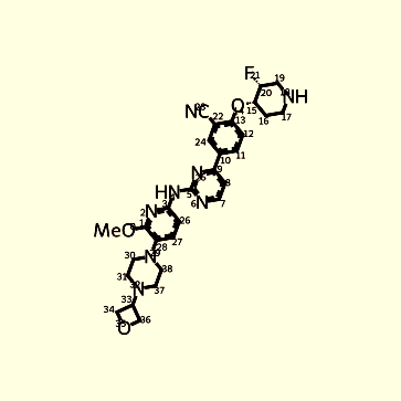 COc1nc(Nc2nccc(-c3ccc(O[C@H]4CCNC[C@H]4F)c(C#N)c3)n2)ccc1N1CCN(C2COC2)CC1